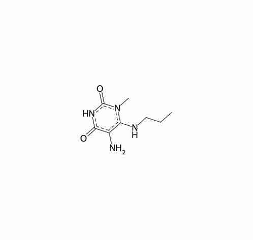 CCCNc1c(N)c(=O)[nH]c(=O)n1C